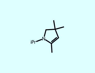 CC1=CC(C)(C)CN1C(C)C